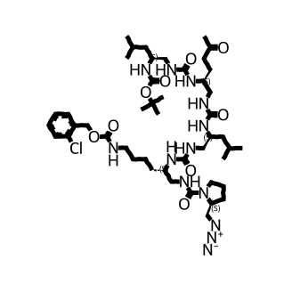 CC(=O)CC[C@@H](CNC(=O)N[C@H](CNC(=O)N[C@@H](CCCCNC(=O)OCc1ccccc1Cl)CNC(=O)N1CCC[C@H]1CN=[N+]=[N-])CC(C)C)NC(=O)NC[C@H](CC(C)C)NC(=O)OC(C)(C)C